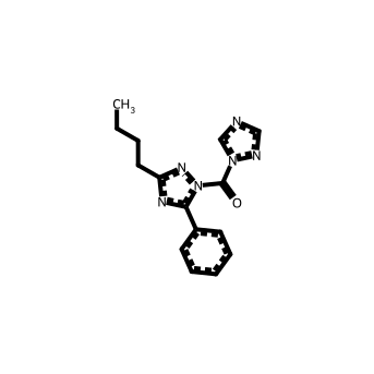 CCCCc1nc(-c2ccccc2)n(C(=O)n2cncn2)n1